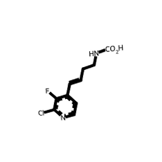 O=C(O)NCCC=Cc1ccnc(Cl)c1F